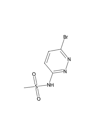 CS(=O)(=O)Nc1ccc(Br)nn1